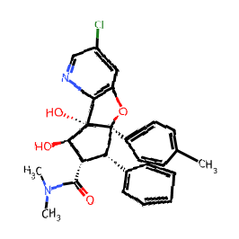 Cc1ccc([C@@]23Oc4cc(Cl)cnc4[C@]2(O)[C@H](O)[C@@H](C(=O)N(C)C)[C@H]3c2ccccc2)cc1